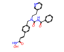 O=C(C=Cc1ccc(CN(CCc2cccnc2)C(=O)NC(=O)c2ccccc2)cc1)NO